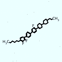 CCCCCCc1ccc(-c2ccc(-c3ccc(C4=CCC(C5CCC(CCC)CC5)CC4)c(F)c3)cc2)c(F)c1F